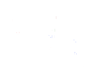 Cc1c(N2CC(C)OC(C)C2)nc2ccc(Br)cc2c1C(=O)NCC(CCC(=O)O)c1cc(F)ccc1Cl